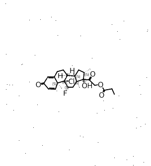 CCC(=O)OCC(=O)[C@@]1(O)[C@@H](C)C[C@H]2[C@@H]3CCC4=CC(=O)C=C[C@]4(C)[C@@]3(Cl)[C@@H](F)C[C@@]21C